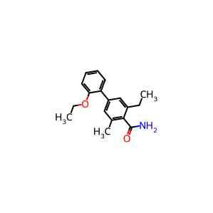 CCOc1ccccc1-c1cc(C)c(C(N)=O)c(CC)c1